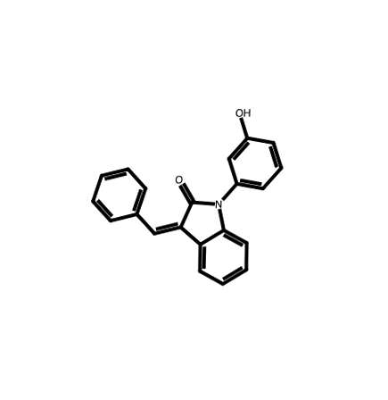 O=C1/C(=C\c2ccccc2)c2ccccc2N1c1cccc(O)c1